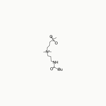 CCC(C)C(=O)NCCC[N+](C)(C)CCCS(C)(=O)=O